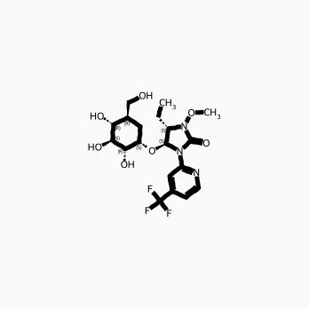 CC[C@H]1[C@H](O[C@H]2C[C@H](CO)[C@@H](O)[C@H](O)[C@H]2O)N(c2cc(C(F)(F)F)ccn2)C(=O)N1OC